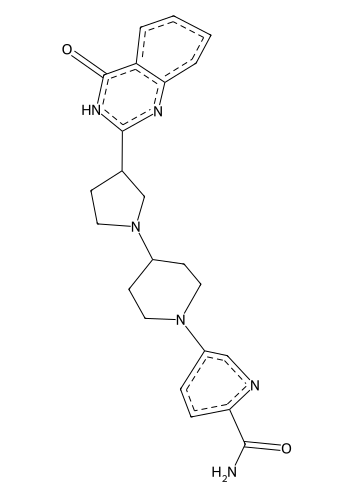 NC(=O)c1ccc(N2CCC(N3CCC(c4nc5ccccc5c(=O)[nH]4)C3)CC2)cn1